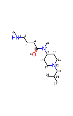 CNCCCC(=O)N(C)C1CCN(CC(C)C)CC1